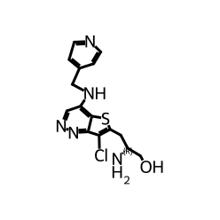 N[C@@H](CO)Cc1sc2c(NCc3ccncc3)cnnc2c1Cl